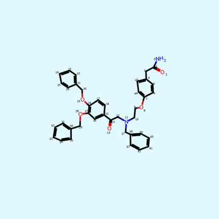 NC(=O)Cc1ccc(OCCN(CC(=O)c2ccc(OCc3ccccc3)c(OCc3ccccc3)c2)Cc2ccccc2)cc1